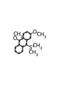 COc1ccc2c(OC)c3ccccc3c([S+](C)C)c2c1